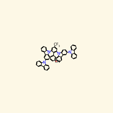 N#Cc1cccc(-c2c(-n3c4ccccc4c4cc(-n5c6ccccc6c6ccccc65)ccc43)cc(C(F)(F)F)cc2-n2c3ccccc3c3cc(-n4c5ccccc5c5ccccc54)ccc32)c1